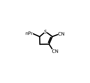 CCCC1CC(C#N)=C(C#N)S1